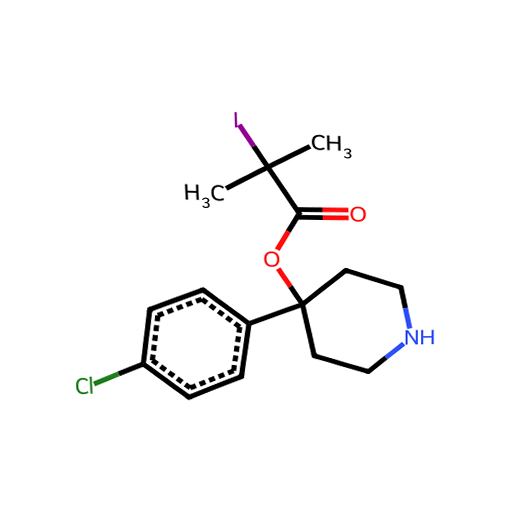 CC(C)(I)C(=O)OC1(c2ccc(Cl)cc2)CCNCC1